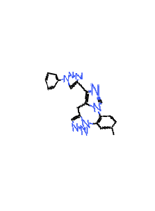 Cc1ccc2c(c1)-n1nncc1Cc1c(-c3cn(-c4ccccc4)nn3)ncn1-2